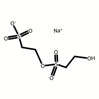 O=S(=O)([O-])CCOS(=O)(=O)CCO.[Na+]